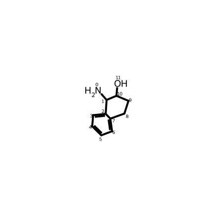 NC1c2ccccc2CCC1O